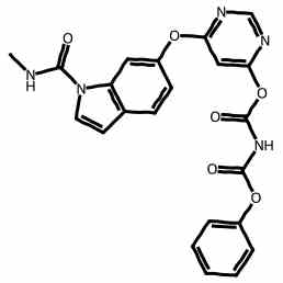 CNC(=O)n1ccc2ccc(Oc3cc(OC(=O)NC(=O)Oc4ccccc4)ncn3)cc21